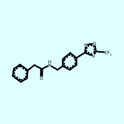 O=C(Cc1ccccc1)NCc1ccc(-c2noc(C(F)(F)F)n2)cc1